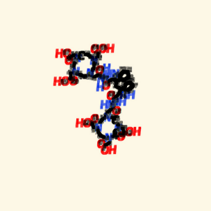 O=C(O)CN1CCCN(CC(=O)O)CCN(CC(=O)NNC(=O)c2[nH]c3ccccc3c2Cc2c(C(=O)NNC(=O)CN3CCCN(CC(=O)O)CCN(CC(=O)O)CCCN(CC(=O)O)CC3)[nH]c3ccccc23)CCCN(CC(=O)O)CC1